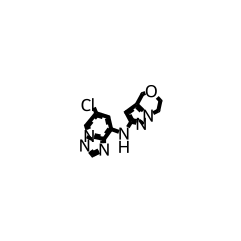 Clc1cc(Nc2cc3n(n2)CCOC3)c2ncnn2c1